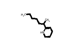 CCCCCC(C)C1=CCCCN1